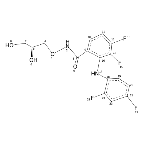 O=C(NOC[C@@H](O)CO)c1ccc(F)c(F)c1Nc1ccc(F)cc1F